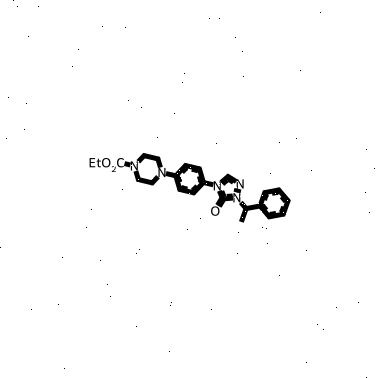 CCOC(=O)N1CCN(c2ccc(-n3cnn(C(C)c4ccccc4)c3=O)cc2)CC1